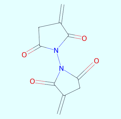 C=C1CC(=O)N(N2C(=O)CC(=C)C2=O)C1=O